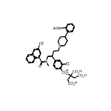 CC(=O)Nc1ccccc1C1CCN(CCC(CN(C)C(=O)c2cc(C#N)cc3ccccc23)c2ccc(Cl)c(Cl)c2)CC1.O=C(O)CC(O)(CC(=O)O)C(=O)O